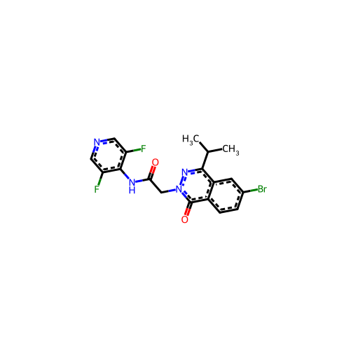 CC(C)c1nn(CC(=O)Nc2c(F)cncc2F)c(=O)c2ccc(Br)cc12